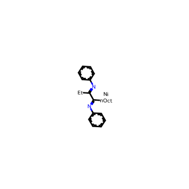 CCCCCCCCC(=N\c1ccccc1)/C(CC)=N/c1ccccc1.[Ni]